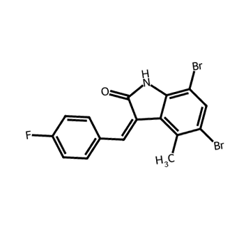 Cc1c(Br)cc(Br)c2c1C(=Cc1ccc(F)cc1)C(=O)N2